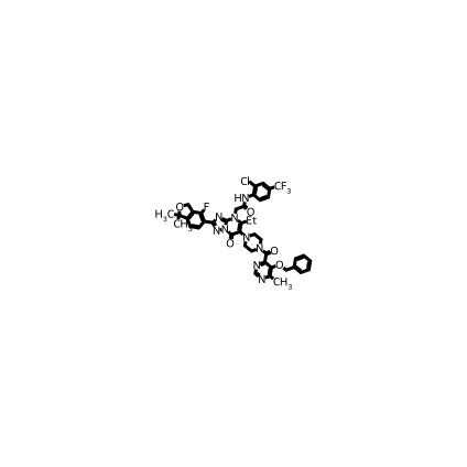 CCc1c(N2CCN(C(=O)c3ncnc(C)c3OCc3ccccc3)CC2)c(=O)n2nc(-c3ccc4c(c3F)COC4(C)C)nc2n1CC(=O)Nc1ccc(C(F)(F)F)cc1Cl